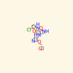 COc1c(Cl)cccc1NC(=S)C1=C(NCc2ccncc2OCC[C@@H]2CCCO2)C[C@@H](C)NC1=O